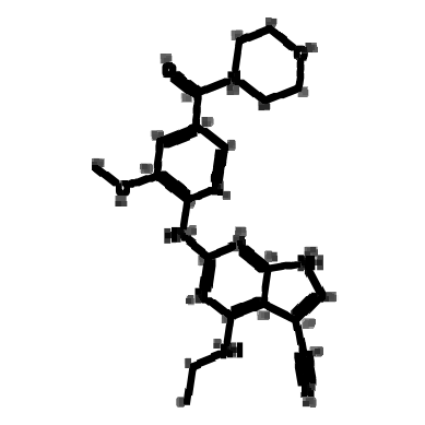 CCNc1nc(Nc2ncc(C(=O)N3CCOCC3)cc2OC)nc2[nH]cc(C#N)c12